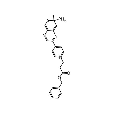 CC1(P)C=c2nc(-c3cc[n+](CCC(=O)OCc4ccccc4)cc3)cnc2=CS1